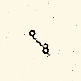 Brc1ccc2c(c1)CCN2CCCOCc1ccccc1